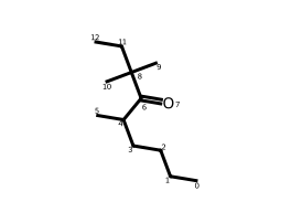 CCCCC(C)C(=O)C(C)(C)CC